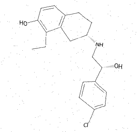 CCc1c(O)ccc2c1C[C@@H](NC[C@H](O)c1ccc(Cl)cc1)CC2